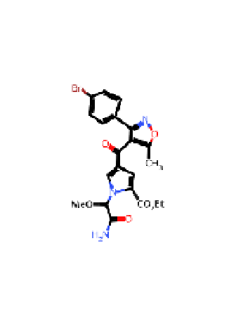 CCOC(=O)c1cc(C(=O)c2c(-c3ccc(Br)cc3)noc2C)cn1C(OC)C(N)=O